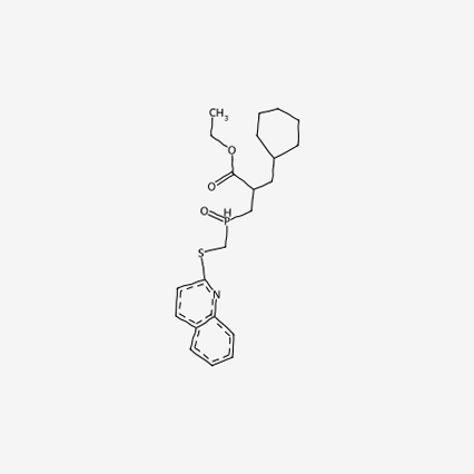 CCOC(=O)C(CC1CCCCC1)C[PH](=O)CSc1ccc2ccccc2n1